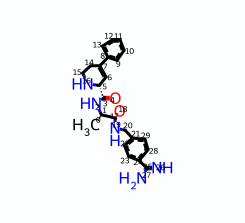 C[C@H](NC(=O)[C@H]1C=C(c2ccccc2)CCN1)C(=O)NCc1ccc(C(=N)N)cc1